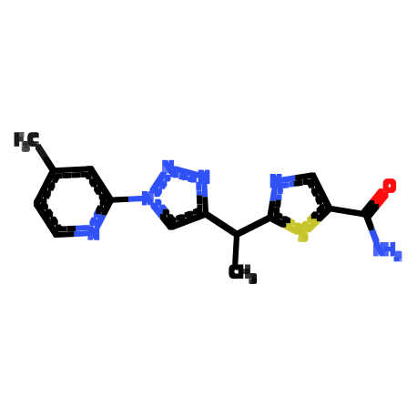 CC(c1cn(-c2cc(C(F)(F)F)ccn2)nn1)c1ncc(C(N)=O)s1